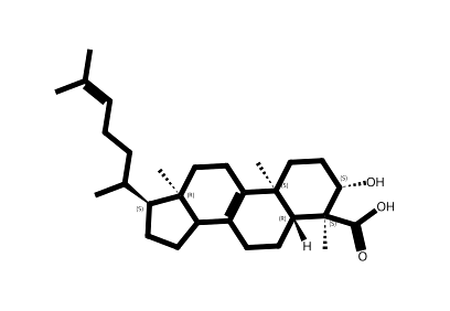 CC(C)=CCCC(C)[C@@H]1CCC2C3=C(CC[C@@]21C)[C@@]1(C)CC[C@H](O)[C@@](C)(C(=O)O)[C@@H]1CC3